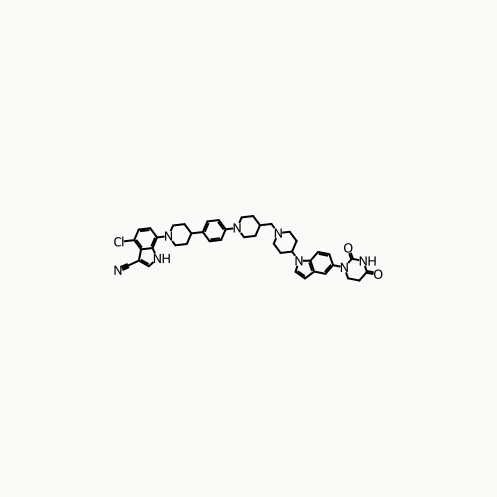 N#Cc1c[nH]c2c(N3CCC(c4ccc(N5CCC(CN6CCC(n7ccc8cc(N9CCC(=O)NC9=O)ccc87)CC6)CC5)cc4)CC3)ccc(Cl)c12